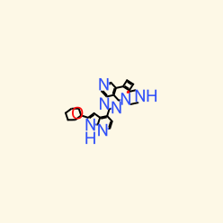 C1=CC(c2cncc3nc(-c4ccnc5[nH]c(C6CC7CCC6O7)cc45)nc(N4CCNCC4)c23)=C1